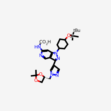 CC1(C)OC[C@@H](Cn2cc(-c3nn(C4CCC(O[Si](C)(C)C(C)(C)C)CC4)c4cc(NC(=O)O)ncc34)cn2)O1